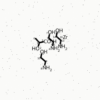 CC(O)C(=O)O.NCCO.NCCO.NCCO.[Zr]